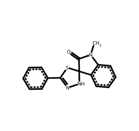 CN1C(=O)C2(NN=C(c3ccccc3)S2)c2ccccc21